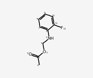 CC(=O)OCNc1ccccc1F